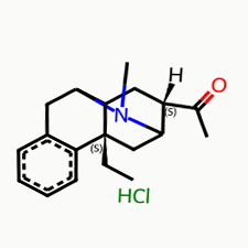 CC[C@]12CC3[C@@H](C(C)=O)CC1C(Cc1ccccc12)N3C.Cl